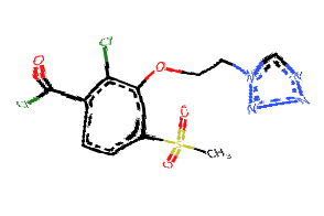 CS(=O)(=O)c1ccc(C(=O)Cl)c(Cl)c1OCCn1cnnn1